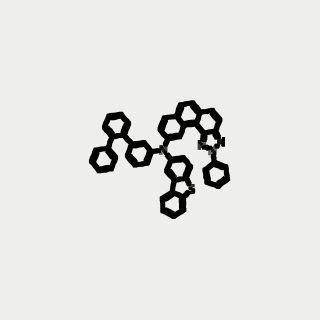 c1ccc(-c2ccccc2-c2cccc(N(c3ccc4sc5ccccc5c4c3)c3ccc4ccc5ccc6nn(-c7ccccc7)nc6c5c4c3)c2)cc1